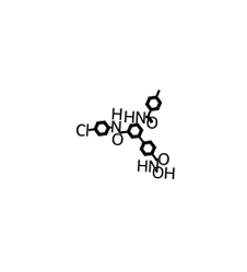 Cc1ccc(C(=O)Nc2cc(C(=O)Nc3ccc(Cl)cc3)cc(-c3ccc(C(=O)NO)cc3)c2)cc1